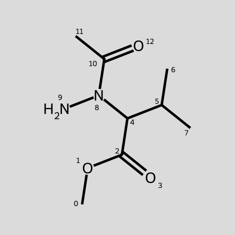 COC(=O)C(C(C)C)N(N)C(C)=O